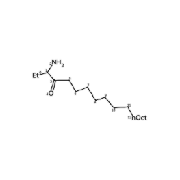 [CH2]CC(N)C(=O)CCCCCCCCCCCCCCC